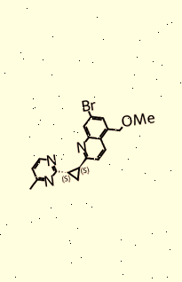 COCc1cc(Br)cc2nc([C@H]3C[C@@H]3c3nccc(C)n3)ccc12